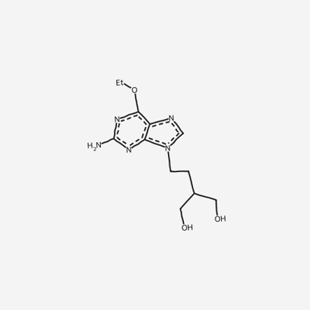 CCOc1nc(N)nc2c1ncn2CCC(CO)CO